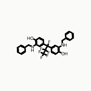 Oc1ccc(C(F)(c2ccc(O)c(NCc3ccccc3)c2)C(F)(F)C(F)(F)F)cc1NCc1ccccc1